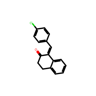 O=C1CCc2ccccc2C1=Cc1ccc(Cl)cc1